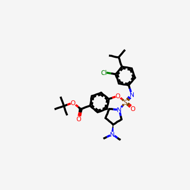 CC(C)c1ccc(N=S(=O)(Oc2ccc(C(=O)OC(C)(C)C)cc2)N2CC[C@H](N(C)C)C2)cc1Cl